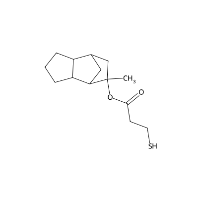 CC1(OC(=O)CCS)CC2CC1C1CCCC21